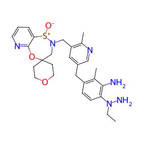 CCN(N)c1ccc(Cc2cnc(C)c(CN3CC4(CCOCC4)Oc4ncccc4[S+]3[O-])c2)c(C)c1N